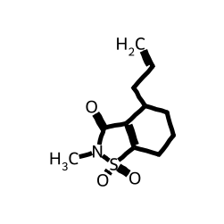 C=CCC1CCCC2=C1C(=O)N(C)S2(=O)=O